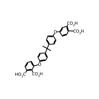 CC(C)(c1ccc(Oc2ccc(C(=O)O)c(C(=O)O)c2)cc1)c1ccc(Oc2cccc(C(=O)O)c2C(=O)O)cc1